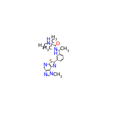 CNC(C)(C)C(=O)N[C@@H](C)c1cccc(-c2nc3c(ncc4ncn(C)c43)s2)c1